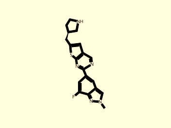 Cn1cc2cc(-c3ncc4cc(C[C@H]5CCNC5)sc4n3)cc(F)c2n1